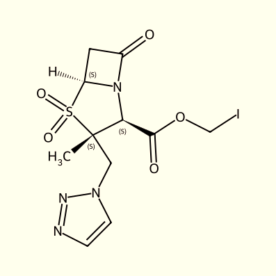 C[C@]1(Cn2ccnn2)[C@H](C(=O)OCI)N2C(=O)C[C@@H]2S1(=O)=O